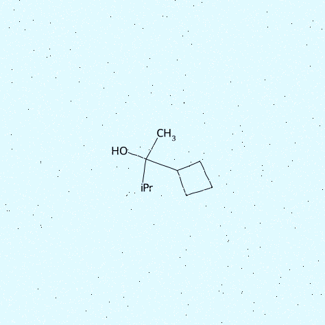 CC(C)C(C)(O)C1CCC1